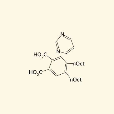 CCCCCCCCc1cc(C(=O)O)c(C(=O)O)cc1CCCCCCCC.c1cncnc1